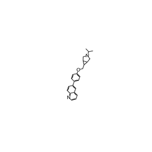 CC(C)N1CC2C(COc3ccc(-c4ccc5ncccc5c4)cc3)C2C1